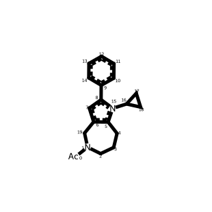 CC(=O)N1CCCc2c(cc(-c3ccccc3)n2C2CC2)C1